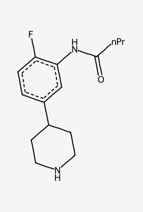 CCCC(=O)Nc1cc(C2CCNCC2)ccc1F